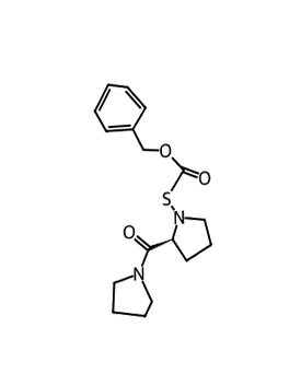 O=C(OCc1ccccc1)SN1CCC[C@H]1C(=O)N1CCCC1